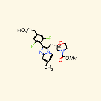 COC(=O)N1CCO[C@@H](Cc2c(-c3c(F)cc(CC(=O)O)cc3F)nc3cc(C)ccn23)C1